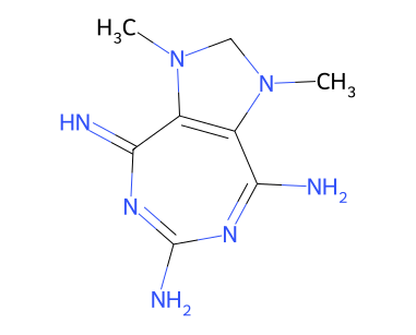 CN1CN(C)c2c1c(N)nc(N)nc2=N